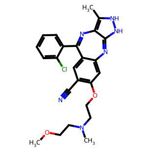 COCCN(C)CCOc1cc2c(cc1C#N)C(c1ccccc1Cl)=NC1=C(C)NNC1=N2